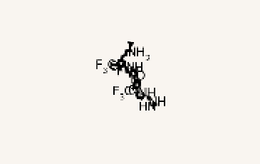 CC(=N)NCC[C@@H]1CCC[C@@H](c2ccc(-n3cc4cc(-c5cc(CCCC(N)C6CC6)cc(OC(F)(F)F)c5F)[nH]c4nc3=O)cc2OC(F)(F)F)N1